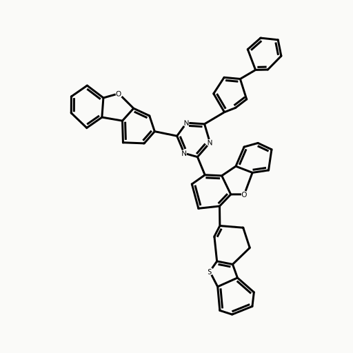 C1=C(c2ccc(-c3nc(-c4ccc(-c5ccccc5)cc4)nc(-c4ccc5c(c4)oc4ccccc45)n3)c3c2oc2ccccc23)CCc2c1sc1ccccc21